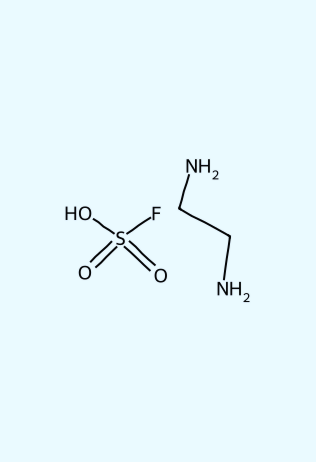 NCCN.O=S(=O)(O)F